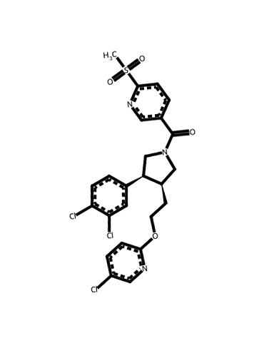 CS(=O)(=O)c1ccc(C(=O)N2C[C@@H](CCOc3ccc(Cl)cn3)[C@@H](c3ccc(Cl)c(Cl)c3)C2)cn1